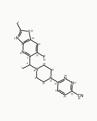 Cc1nc2nc(C(C)N3CCN(c4ccc(C#N)nn4)CC3)c(F)cc2s1